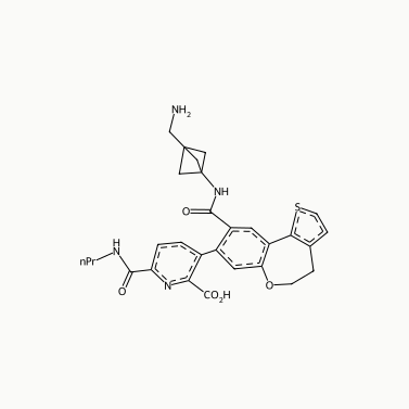 CCCNC(=O)c1ccc(-c2cc3c(cc2C(=O)NC24CC(CN)(C2)C4)-c2sccc2CCO3)c(C(=O)O)n1